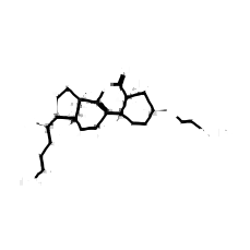 CC(=O)NCCO[C@H]1CC[C@]2(C)C3=C(OC(=O)[C@H]2C1)[C@@H]1CC[C@H]([C@H](C)CCCC(C)C)[C@@]1(C)CC3